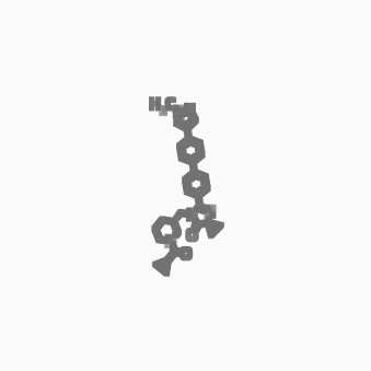 Cn1cc(-c2ccc(-c3ccc(C4=NC5(CC5)C(=O)N4C[C@@H]4CCCN(C(=O)C5CC5)C4)cc3)cc2)cn1